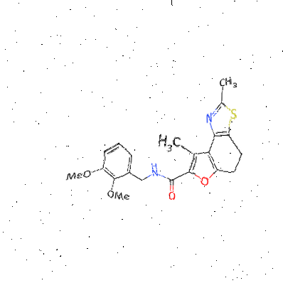 COc1cccc(CNC(=O)c2oc3c(c2C)-c2nc(C)sc2CC3)c1OC